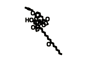 CC#CCOc1ccc(C[C@H](NC(=O)[C@@H](/C=C/CCCCCCC(=O)CCCCCCC)[C@@](O)(CC(=O)O)C(=O)OC)C(=O)OC)cc1